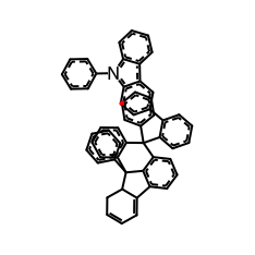 C1=CCC2C(=C1)c1cccc3c1C2(c1ccccc1)c1ccccc1C3(c1ccccc1)c1ccccc1-c1ccc2c(c1)c1ccccc1n2-c1ccccc1